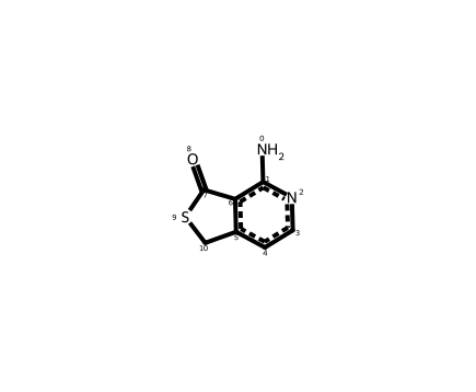 Nc1nccc2c1C(=O)SC2